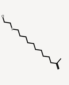 C=C(C)CCCCCCCCCCSCCCl